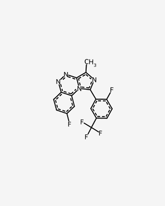 Cc1nc(-c2cc(C(F)(F)F)ccc2F)n2c1nnc1ccc(F)cc12